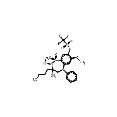 CCCCC1(C)CN(c2ccccc2)c2cc(OC)c(OS(=O)(=O)C(F)(F)F)cc2S(=O)(=O)N1PC